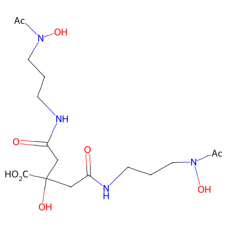 CC(=O)N(O)CCCNC(=O)CC(O)(CC(=O)NCCCN(O)C(C)=O)C(=O)O